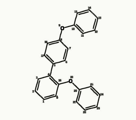 [c]1cccc(-c2ccc(Oc3ccccc3)cc2)c1Oc1ccccc1